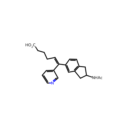 CC(=O)NC1Cc2ccc(/C(=C/CCCC(=O)O)c3cccnc3)cc2C1